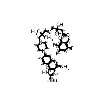 CCCCc1nc2c(N)nc3cc(N4CCN(CC(C)(C)COCC(C)(C)CC(=O)Oc5c(F)c(F)cc(F)c5F)CC4)ccc3c2[nH]1